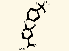 COC(=O)c1cnc(Oc2ccc(C(F)(F)C(F)(F)F)cc2)c(F)c1